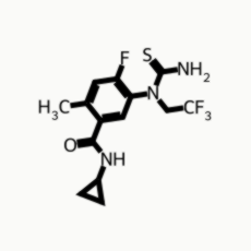 Cc1cc(F)c(N(CC(F)(F)F)C(N)=S)cc1C(=O)NC1CC1